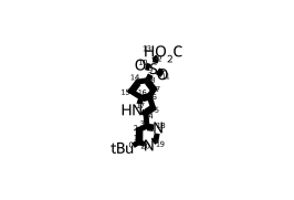 CC(C)(C)c1cc(-c2cc3cc(S(=O)(=O)CC(=O)O)ccc3[nH]2)ncn1